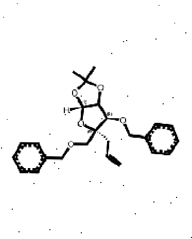 C=CC[C@]1(COCc2ccccc2)O[C@@H]2OC(C)(C)OC2[C@H]1OCc1ccccc1